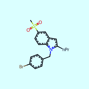 CCCc1cc2cc(S(C)(=O)=O)ccc2n1Cc1ccc(Br)cc1